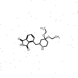 CCOC1(OCC)CCNC(Cc2cccc3c2C(=O)NC3=O)C1